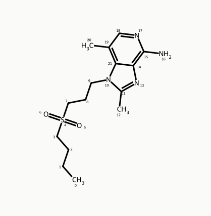 CCCCS(=O)(=O)CCCn1c(C)nc2c(N)ncc(C)c21